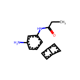 CCC(=O)Nc1cccc(N)c1.c1cc2ccc1-2